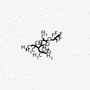 CCC(C)(C)CC(C(=O)OC(C)C(=O)OCC(F)(F)C(F)(F)F)C(C)(C)CC